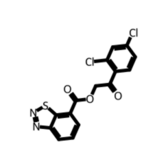 O=C(COC(=O)c1cccc2nnsc12)c1ccc(Cl)cc1Cl